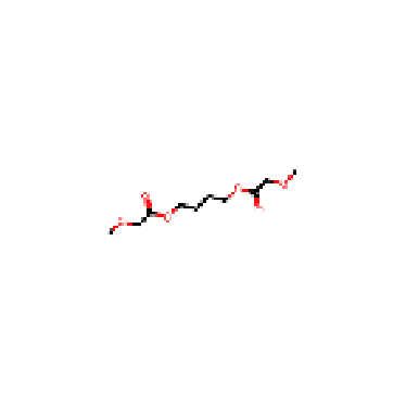 COCC(=O)OCCCCOC(=O)COC